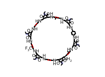 C/C=C1/C(=O)c2c[nH]c3ccc(cc3)[nH]cc3c(=O)c(c[nH]c4ccc([nH]cc5c(=O)c(c[nH]c6ccc(cc6)[nH]cc6c(=O)c(c(N)c7ccc([nH]cc8c(=O)c(c[nH]c9ccc(cc9)[nH]cc9c(=O)c(c[nH]c%10ccc([nH]cc(c2=O)C1=O)c(C)c%10)C(=O)/C(=C/C)C9=O)C(=O)/C(=C/C)C8=O)c(C)c7)C(=O)/C(=C/C)C6=O)C(=O)/C(=C/C)C5=O)c(C(F)(F)F)c4)C(=O)/C(=C/C)C3=O